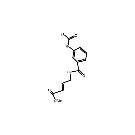 CCC(=O)Nc1cccc(C(=O)NC/C=C/C(=O)OC)c1